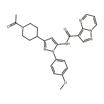 COc1ccc(-n2nc(C3CCN(C(C)=O)CC3)cc2NC(=O)c2cnn3cccnc23)cc1